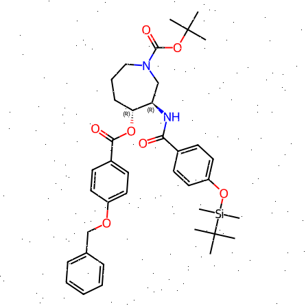 CC(C)(C)OC(=O)N1CCC[C@@H](OC(=O)c2ccc(OCc3ccccc3)cc2)[C@H](NC(=O)c2ccc(O[Si](C)(C)C(C)(C)C)cc2)C1